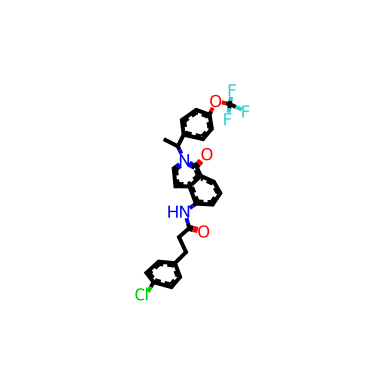 CC(c1ccc(OC(F)(F)F)cc1)n1ccc2c(NC(=O)CCc3ccc(Cl)cc3)cccc2c1=O